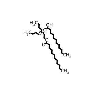 CCCCCCCCCCCC(=O)O.CCCCCCCCCCCC(=O)OC[CH2][Sn]([CH2]CCC)[CH2]CCC